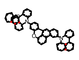 c1ccc(-c2ccccc2N(c2ccccc2)c2ccc3cc4c5c(cccc5c3c2)Oc2cc(N(c3ccccc3-c3ccccc3)c3cccc5c3oc3ccccc35)ccc2-4)cc1